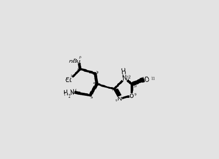 CCCCC(CC)CC(CN)c1noc(=O)[nH]1